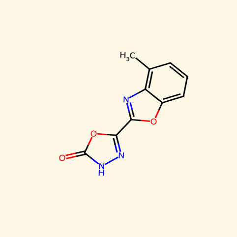 Cc1cccc2oc(-c3n[nH]c(=O)o3)nc12